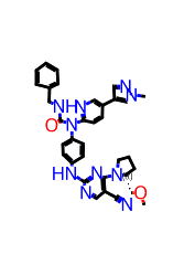 COC[C@H]1CCCN1c1nc(Nc2ccc(N(C(=O)NCc3ccccc3)c3ccc(-c4cnn(C)c4)cn3)cc2)ncc1C#N